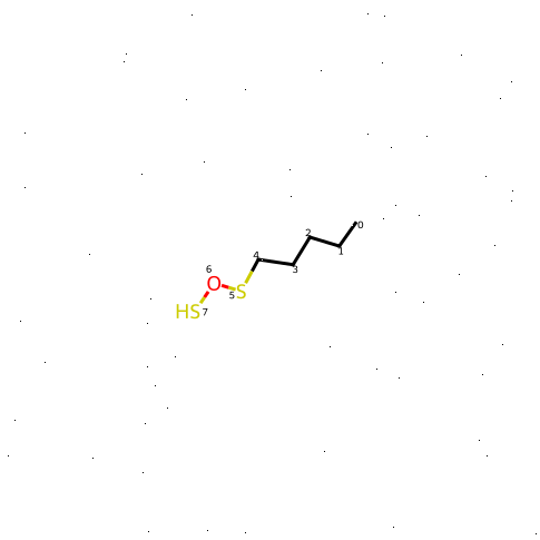 CCCCCSOS